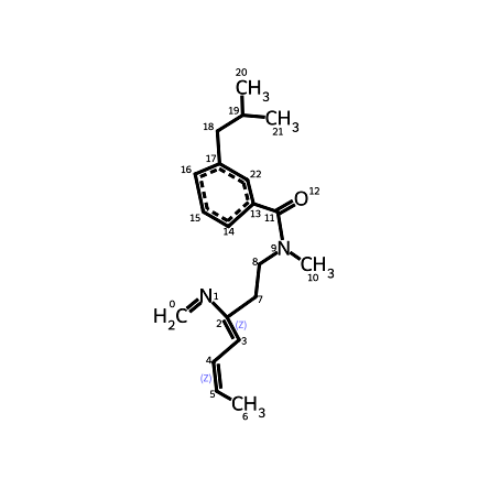 C=N/C(=C\C=C/C)CCN(C)C(=O)c1cccc(CC(C)C)c1